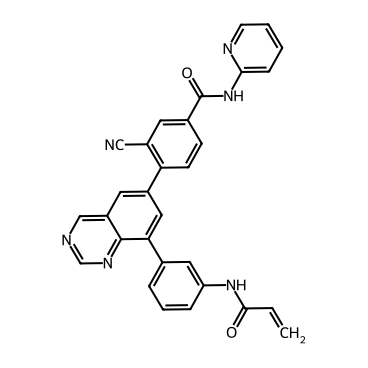 C=CC(=O)Nc1cccc(-c2cc(-c3ccc(C(=O)Nc4ccccn4)cc3C#N)cc3cncnc23)c1